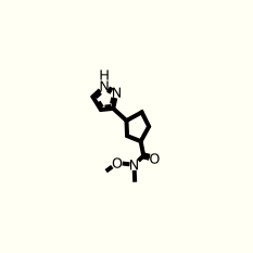 CON(C)C(=O)C1CCC(c2cc[nH]n2)C1